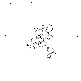 C[C@H](Oc1cc(N2CCNC3(CC3)C2)nc(C2=NOC([C@@]3(C)CCCc4sc(N)c(C#N)c43)N2C)n1)[C@@H]1CCCN1C